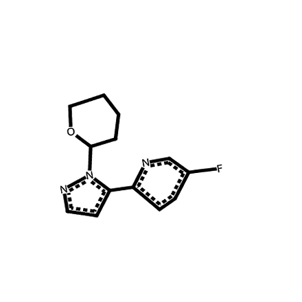 Fc1ccc(-c2ccnn2C2CCCCO2)nc1